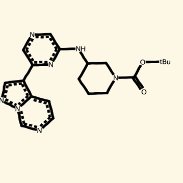 CC(C)(C)OC(=O)N1CCCC(Nc2cncc(-c3cnn4cnccc34)n2)C1